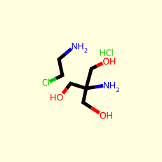 Cl.NC(CO)(CO)CO.NCCCl